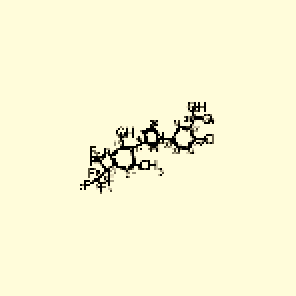 Cc1cc(C(F)(C(F)(F)F)C(F)(F)F)cc(C)c1-c1ccn(-c2ccc(Cl)c(C(=O)O)c2)n1